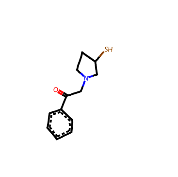 O=C(CN1CCC(S)C1)c1ccccc1